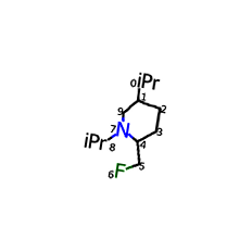 CC(C)C1CCC(CF)N(C(C)C)C1